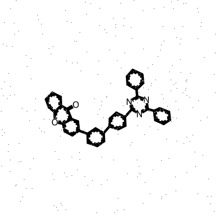 O=c1c2ccccc2oc2ccc(-c3cccc(-c4ccc(-c5nc(-c6ccccc6)nc(-c6ccccc6)n5)cc4)c3)cc12